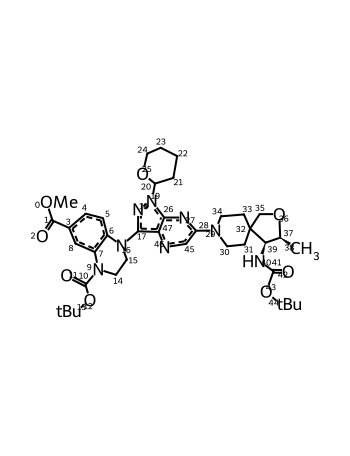 COC(=O)c1ccc2c(c1)N(C(=O)OC(C)(C)C)CCN2c1nn(C2CCCCO2)c2nc(N3CCC4(CC3)CO[C@@H](C)[C@H]4NC(=O)OC(C)(C)C)cnc12